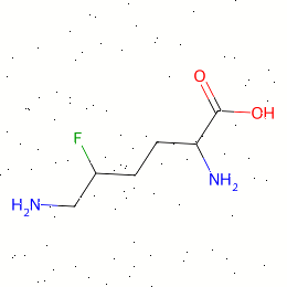 NCC(F)CCC(N)C(=O)O